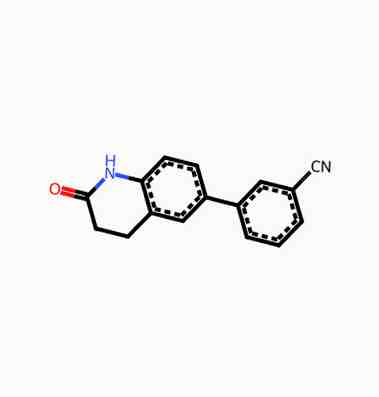 N#Cc1cccc(-c2ccc3c(c2)CCC(=O)N3)c1